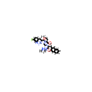 C#CC[C@H]1C(=O)N([C@@H](Cc2ccc3ccccc3c2)C(=O)NC)CCN1C(=O)[C@H](N)Cc1ccc(F)cc1